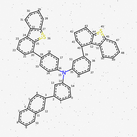 c1cc(-c2ccc3ccccc3c2)cc(N(c2ccc(-c3cccc4c3sc3ccccc34)cc2)c2cccc(-c3cccc4sc5ccccc5c34)c2)c1